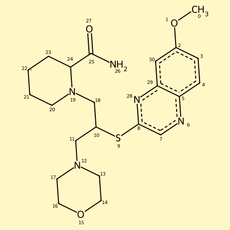 COc1ccc2ncc(SC(CN3CCOCC3)CN3CC[CH]CC3C(N)=O)nc2c1